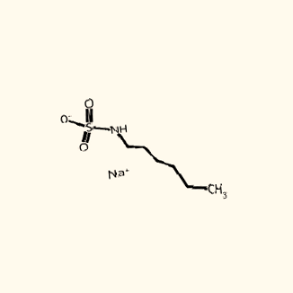 CCCCCCNS(=O)(=O)[O-].[Na+]